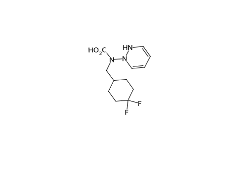 O=C(O)N(CC1CCC(F)(F)CC1)N1C=CC=CN1